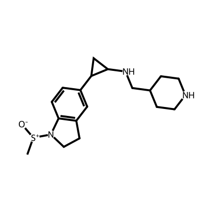 C[S+]([O-])N1CCc2cc(C3CC3NCC3CCNCC3)ccc21